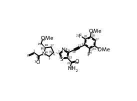 C=CC(=O)N1C[C@@H](c2nc(C#Cc3c(F)c(OC)cc(OC)c3F)c(C(N)=O)s2)C[C@@H]1COC